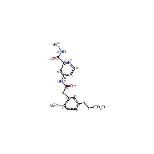 CCOC(=O)CCc1ccc(OC)c(CC(=O)Nc2ccnc(C(=O)NC(C)(C)C)c2)c1